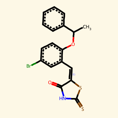 CC(Oc1ccc(Br)cc1/C=C1/SC(=S)NC1=O)c1ccccc1